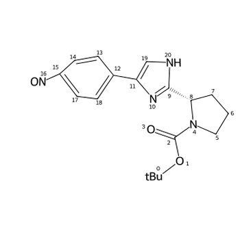 CC(C)(C)OC(=O)N1CCC[C@H]1c1nc(-c2ccc(N=O)cc2)c[nH]1